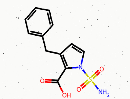 NS(=O)(=O)n1ccc(Cc2ccccc2)c1C(=O)O